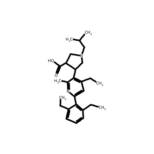 CCc1cccc(CC)c1-c1cc(CC)c(C2CN(CC(C)C)CC2C(=O)O)c(C)n1